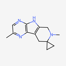 Cc1cnc2[nH]c3c(c2n1)CC1(CC1)N(C)C3